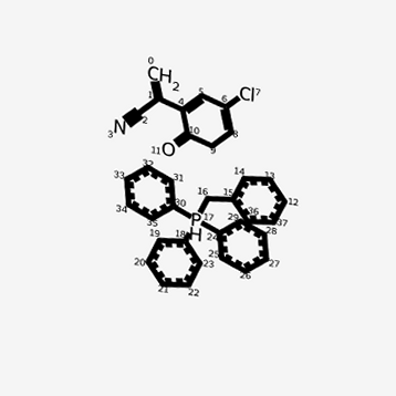 C=C(C#N)C1=CC(Cl)=CCC1=O.c1ccc(C[PH](c2ccccc2)(c2ccccc2)c2ccccc2)cc1